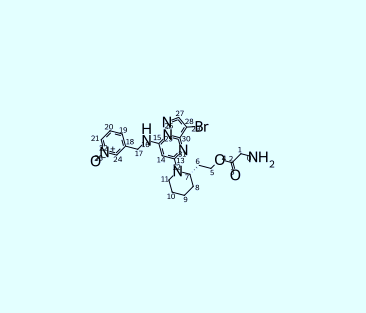 NCC(=O)OCC[C@@H]1CCCCN1c1cc(NCc2ccc[n+]([O-])c2)n2ncc(Br)c2n1